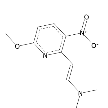 COc1ccc([N+](=O)[O-])c(C=CN(C)C)n1